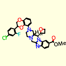 COC(=O)c1ccc2nc3n(c2c1)C([C@@H]1CCO1)[C@H]1CN(c2cccc4c2OC(c2ccc(Cl)cc2F)CO4)CCN1C3